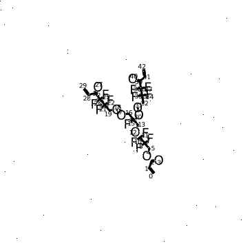 C=CC(=O)OCC(F)(F)C(F)(F)OCC(F)(COOCC(F)(F)C(F)(F)C(=O)C=C)OOCC(F)(F)C(F)(F)C(=O)C=C